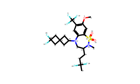 COc1cc2c(cc1C(F)(F)F)N(C1CC3(C1)CC(F)(F)C3)CC(CCC(C)(F)F)N(C)S2(=O)=O